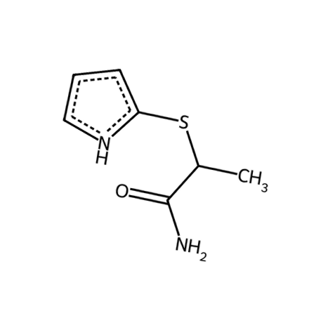 CC(Sc1ccc[nH]1)C(N)=O